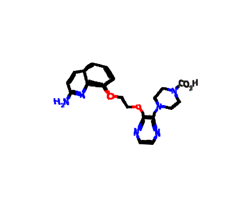 Nc1ccc2cccc(OCCOc3nccnc3N3CCN(C(=O)O)CC3)c2n1